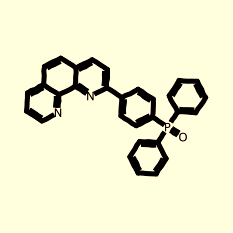 O=P(c1ccccc1)(c1ccccc1)c1ccc(-c2ccc3ccc4cccnc4c3n2)cc1